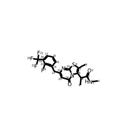 CNC(=O)C(C)c1c(C)sc2nc(Cc3cccc(C(F)(F)F)c3F)cc(=O)n12